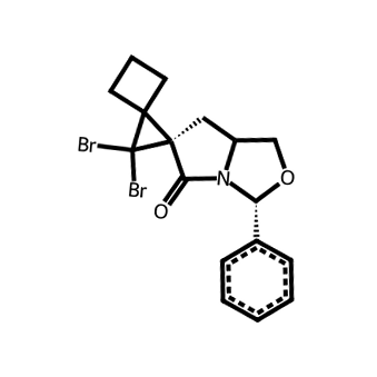 O=C1N2C(CO[C@@H]2c2ccccc2)C[C@@]12C(Br)(Br)C21CCC1